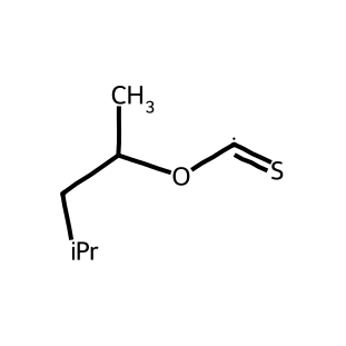 CC(C)CC(C)O[C]=S